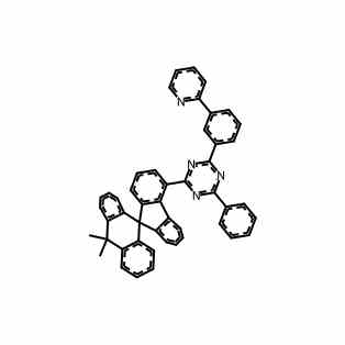 CC1(C)c2ccccc2C2(c3ccccc3-c3c(-c4nc(-c5ccccc5)nc(-c5cccc(-c6ccccn6)c5)n4)cccc32)c2ccccc21